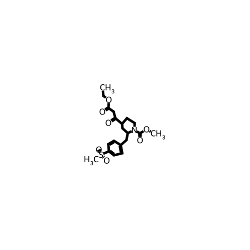 CCOC(=O)CC(=O)C1CCN(C(=O)OC)C(Cc2ccc(S(C)(=O)=O)cc2)C1